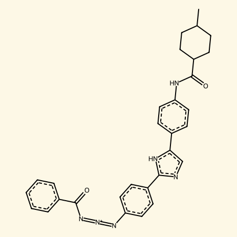 CC1CCC(C(=O)Nc2ccc(-c3cnc(-c4ccc(N=[N+]=NC(=O)c5ccccc5)cc4)[nH]3)cc2)CC1